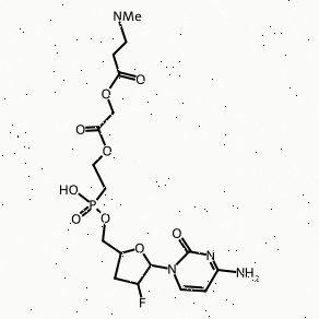 CNCCC(=O)OCC(=O)OCCP(=O)(O)OCC1CC(F)C(n2ccc(N)nc2=O)O1